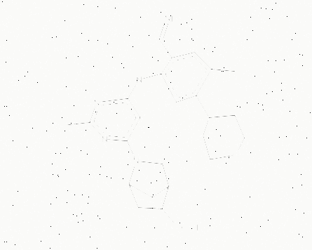 Cc1nc(Nc2cc(C3CCOCC3)c(C)cc2C=N)cc(N2CC3CC2CC3C(=O)O)n1